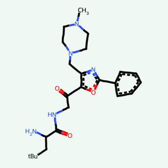 CN1CCN(Cc2nc(-c3ccccc3)oc2C(=O)CNC(=O)C(N)CC(C)(C)C)CC1